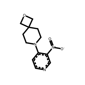 O=[N+]([O-])c1cnccc1N1CCC2(CC1)COC2